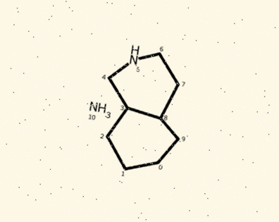 C1CCC2CNCCC2C1.N